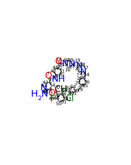 C[C@@H](Oc1cc(C(=O)Nc2ccc(C(=O)N3CCN(CN4CCN(Cc5ccc(CC6CCCC6)cc5)CC4)CC3)cc2)cnc1N)c1c(F)ccc(Cl)c1F